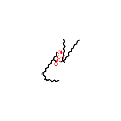 CCCCC/C=C\C/C=C\CCCCCCC(CC(O)CO)C(=O)OCC(C)(CCCCCCCCC)CCCCCCCCCCC